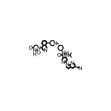 CC(C)Nc1cc(-n2ccc3cc(C#N)cnc32)ncc1C(=O)N[C@H]1CC[C@H](CN2CCC(c3cccc4c(N5CCC(=O)NC5=O)cncc34)CC2)CC1